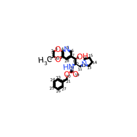 C[C@H]1COc2ncc([C@@H](O)[C@@H](CN3CCCC3)NC(=O)OCc3ccccc3)cc2O1